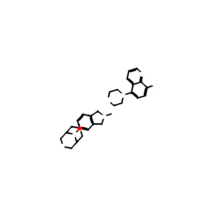 C[C@@H]1CN(c2ccc(C#N)c3ncccc23)C[C@H](CN2Cc3ccc(N4C5CNCC4COC5)cc3C2)O1